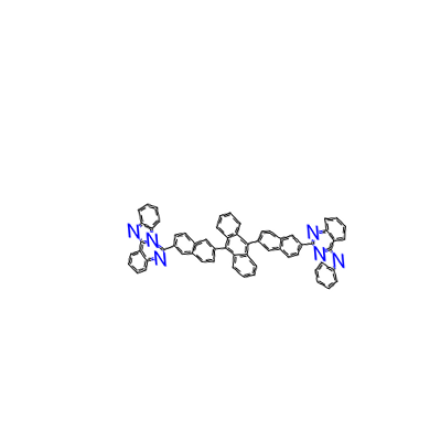 c1ccc2c(c1)nc(-c1ccc3cc(-c4c5ccccc5c(-c5ccc6cc(-c7nc8ccccc8c8nc9ccccc9n78)ccc6c5)c5ccccc45)ccc3c1)n1c3ccccc3nc21